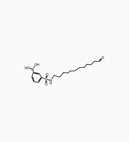 O=CCCCCCCCCCCCNS(=O)(=O)c1cccc(B(O)O)c1